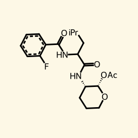 CC(=O)O[C@@H]1OCCC[C@@H]1NC(=O)C(CC(C)C)NC(=O)c1ccccc1F